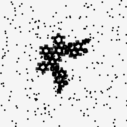 [N-]=[N+]=C1C=Cc2c(cccc2S(=O)(=O)Oc2cc3c(cc2C2CCCCC2)C(c2ccccc2O)c2cc(C4CCCCC4)c(OS(=O)(=O)c4cccc5c4C=CC(=[N+]=[N-])C5=O)cc2C3)C1=O